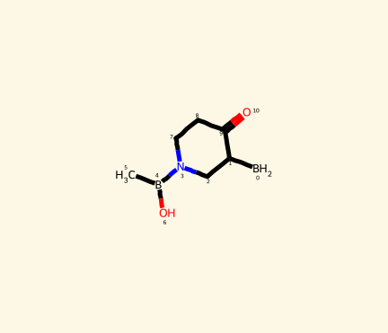 BC1CN(B(C)O)CCC1=O